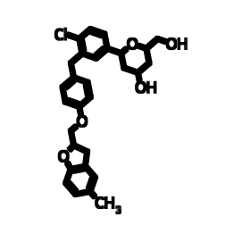 Cc1ccc2c(c1)CC(COc1ccc(Cc3cc(C4CC(O)CC(CO)O4)ccc3Cl)cc1)O2